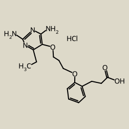 CCc1nc(N)nc(N)c1OCCCOc1ccccc1CCC(=O)O.Cl